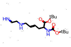 CC(C)(C)OC(=O)NC(CC=CCNCC=N)C(=O)OC(C)(C)C